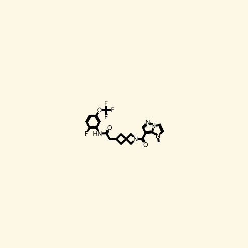 Cn1ccn2ncc(C(=O)N3CC4(CC(CC(=O)Nc5cc(OC(F)(F)F)ccc5F)C4)C3)c12